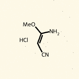 COC(N)=CC#N.Cl